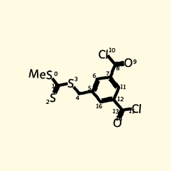 CSC(=S)SCc1cc(C(=O)Cl)cc(C(=O)Cl)c1